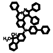 CC1(C)c2ccccc2-c2ccc(N(c3ccc(-c4ccccc4)cc3)c3ccc4cc(-c5ccccc5)n5nc(-c6ccccc6)c(-c6ccccc6)c5c4c3)cc21